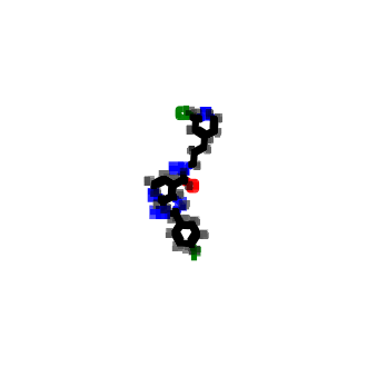 O=C(NCCCc1ccnc(Cl)c1)c1ccnc2[nH]c(-c3ccc(F)cc3)nc12